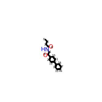 CCCC(=O)NCC(=O)c1ccc(-c2ccccc2)cc1